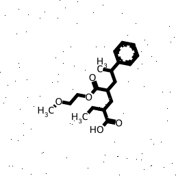 CCC(CC(CC(C)c1ccccc1)C(=O)OCCOC)C(=O)O